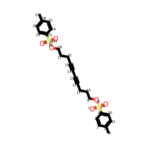 Cc1ccc(S(=O)(=O)OCCCC#CC#CCCCOS(=O)(=O)c2ccc(C)cc2)cc1